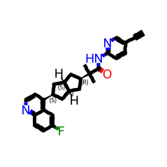 C#Cc1ccc(NC(=O)C(C)(C)[C@H]2C[C@H]3C[C@@H](c4ccnc5ccc(F)cc45)C[C@H]3C2)nc1